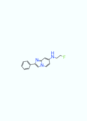 FCCNc1ccn2cc(-c3ccccc3)nc2c1